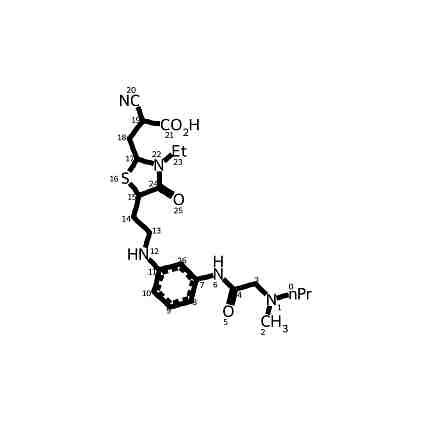 CCCN(C)CC(=O)Nc1cccc(NCCC2SC(CC(C#N)C(=O)O)N(CC)C2=O)c1